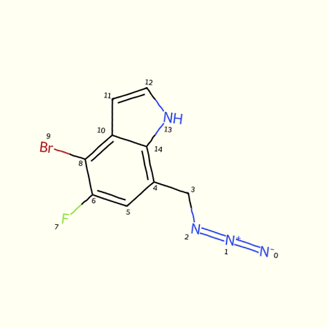 [N-]=[N+]=NCc1cc(F)c(Br)c2cc[nH]c12